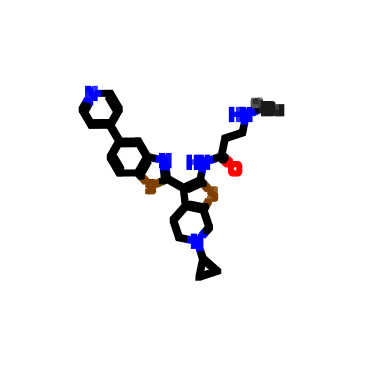 CC[C@H](C)NCCC(=O)Nc1sc2c(c1-c1nc3cc(-c4ccncc4)ccc3s1)CCN(C1CC1)C2